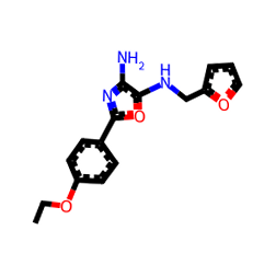 CCOc1ccc(-c2nc(N)c(NCc3ccco3)o2)cc1